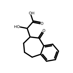 O=C(O)C(O)C1CCCc2ccccc2C1=O